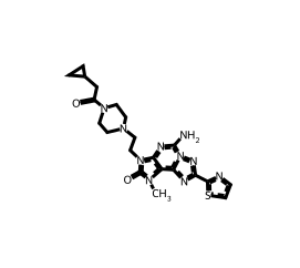 Cn1c(=O)n(CCN2CCN(C(=O)CC3CC3)CC2)c2nc(N)n3nc(-c4nccs4)nc3c21